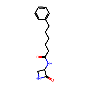 O=C(CCCCCc1ccccc1)NC1CNC1=O